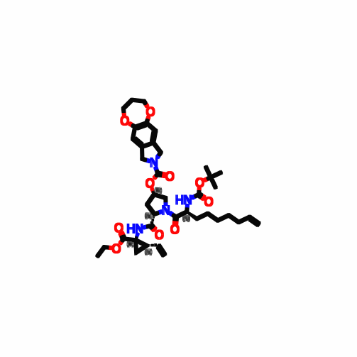 C=CCCCCC[C@H](NC(=O)OC(C)(C)C)C(=O)N1C[C@H](OC(=O)N2Cc3cc4c(cc3C2)OCCCO4)C[C@H]1C(=O)N[C@]1(C(=O)OCC)C[C@H]1C=C